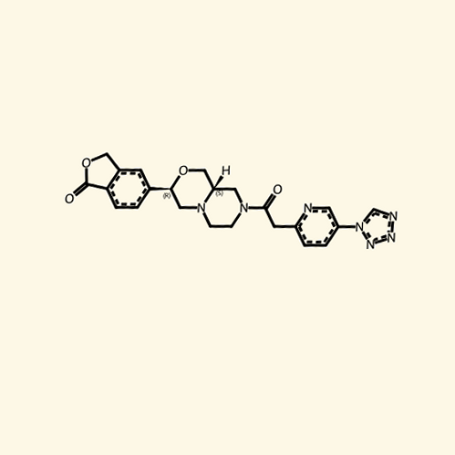 O=C1OCc2cc([C@@H]3CN4CCN(C(=O)Cc5ccc(-n6cnnn6)cn5)C[C@H]4CO3)ccc21